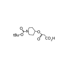 CC(C)(C)OC(=O)N1CCC(OC(=O)CC(=O)O)CC1